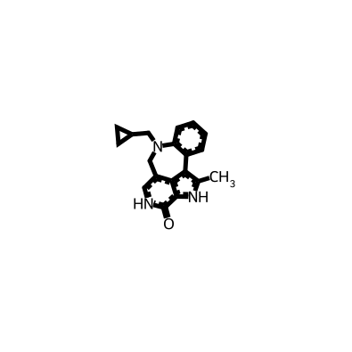 Cc1[nH]c2c(=O)[nH]cc3c2c1-c1ccccc1N(CC1CC1)C3